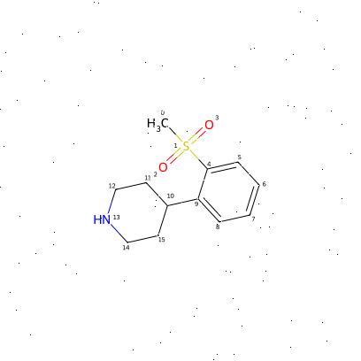 CS(=O)(=O)c1ccccc1C1CCNCC1